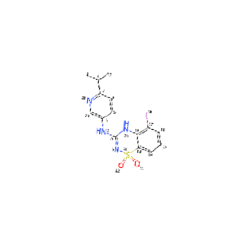 CC(C)c1ccc(NC2=NS(=O)(=O)c3cccc(I)c3N2)cn1